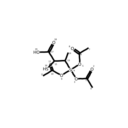 CC(=O)O[Si](OC(C)=O)(OC(C)=O)C(C)C(S)C(=O)O